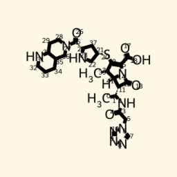 CC(NC(=O)Cn1cnnn1)[C@H]1C(=O)N2C(C(=O)O)=C(S[C@@H]3CN[C@H](C(=O)N4CCC5NCCCC5C4)C3)[C@H](C)[C@H]12